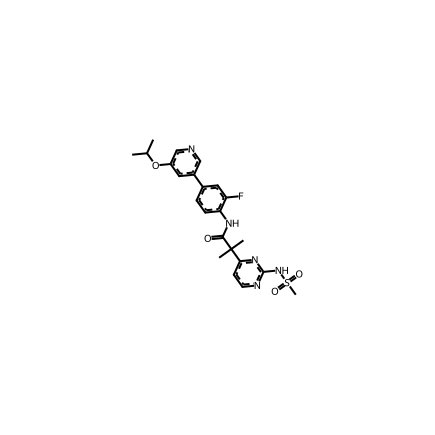 CC(C)Oc1cncc(-c2ccc(NC(=O)C(C)(C)c3ccnc(NS(C)(=O)=O)n3)c(F)c2)c1